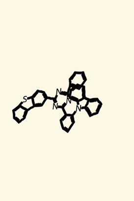 c1ccc(-c2nc(-c3ccc4sc5ccccc5c4c3)nc(-c3ccccc3-n3c4ccccc4c4ccccc43)n2)cc1